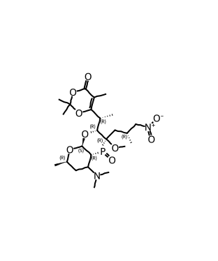 CO[C@](C)(C[C@@H](C)C[N+](=O)[O-])[C@H](O[C@@H]1O[C@H](C)CC(N(C)C)[C@H]1P=O)[C@@H](C)C1=C(C)C(=O)OC(C)(C)O1